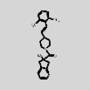 Cc1cccc(C)c1/C=C/C1CCN(C(=O)C2(N)Cc3cccnc3C2)CC1